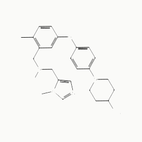 Cc1ccc(Nc2ccc(N3CCC(C(F)(F)F)CC3)cc2)cc1CN(C=O)Cc1cncn1C